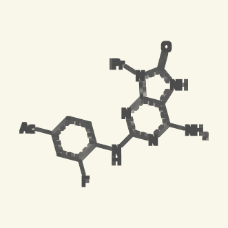 CC(=O)c1ccc(Nc2nc(N)c3[nH]c(=O)n(C(C)C)c3n2)c(F)c1